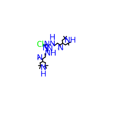 CN(C)C(CCNc1nc(Cl)nc(NCCC(C2CC(C)(C)NC(C)(C)C2)N(C)C)n1)C1CC(C)(C)NC(C)(C)C1